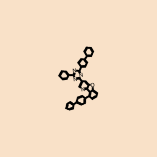 c1ccc(-c2ccc(-c3nc(-c4ccccc4)nc(-c4cnc5c(c4)oc4cccc(-c6ccc(-c7ccccc7)cc6)c45)n3)cc2)cc1